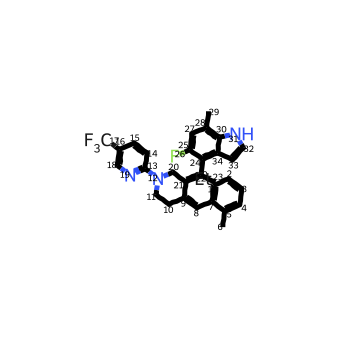 CCc1cccc(C)c1/C=C1/CCN(c2ccc(C(F)(F)F)cn2)C/C1=C(/C)c1c(F)cc(C)c2[nH]ccc12